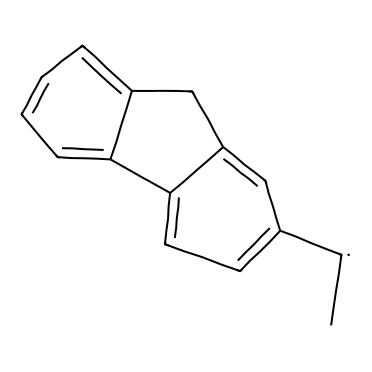 C[CH]c1ccc2c(c1)Cc1ccccc1-2